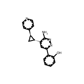 Nc1nnc(-c2ccccc2O)cc1[C@@H]1C[C@H]1c1ccncc1